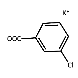 O=C([O-])c1cccc(Cl)c1.[K+]